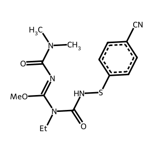 CCN(C(=O)NSc1ccc(C#N)cc1)C(=NC(=O)N(C)C)OC